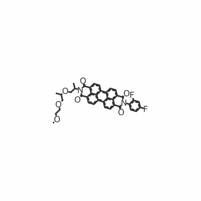 COCCOCC(C)OCC(C)N1C(=O)c2ccc3c4ccc5c6c(ccc(c7ccc(c2c37)C1=O)c64)C(=O)N(c1ccc(F)cc1F)C5=O